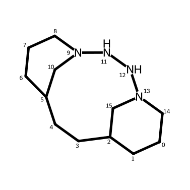 C1CC2CCC3CCCN(C3)NNN(C1)C2